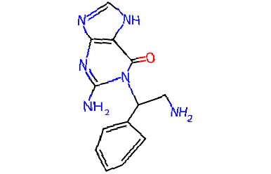 NCC(c1ccccc1)n1c(N)nc2nc[nH]c2c1=O